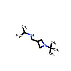 CC(C)NCC1CN(C(C)(C)C)C1